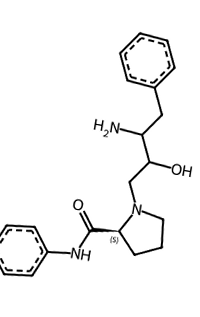 NC(Cc1ccccc1)C(O)CN1CCC[C@H]1C(=O)Nc1ccccc1